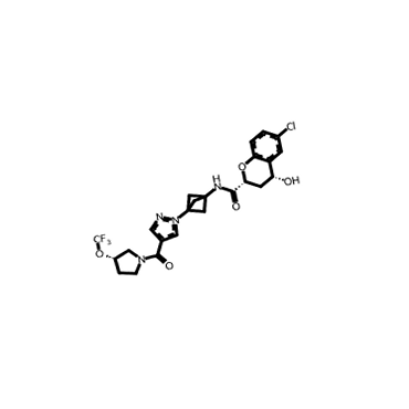 O=C(NC12CC(n3cc(C(=O)N4CC[C@H](OC(F)(F)F)C4)cn3)(C1)C2)[C@H]1C[C@@H](O)c2cc(Cl)ccc2O1